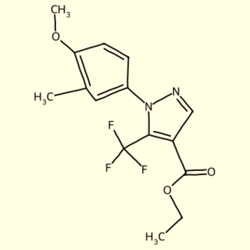 CCOC(=O)c1cnn(-c2ccc(OC)c(C)c2)c1C(F)(F)F